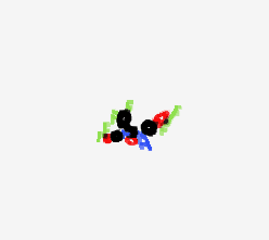 O=C1C(Nc2ccc(OC(F)F)cc2)=CC(c2cc(F)cc(F)c2)N1c1ccc(OC(F)F)cc1